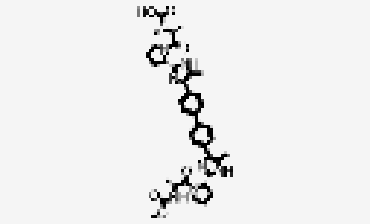 COC(=O)N[C@@H](C)C(=O)N1CCC[C@H]1c1nc(-c2ccc(-c3ccc(-c4nc([C@@H]5CCCN5C(=O)[C@H](C)N(C)C(=O)O)[nH]c4C)cc3)cc2)c(C)[nH]1